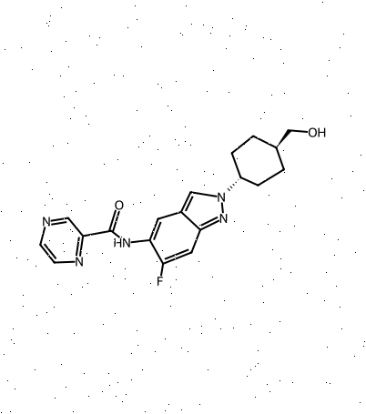 O=C(Nc1cc2cn([C@H]3CC[C@H](CO)CC3)nc2cc1F)c1cnccn1